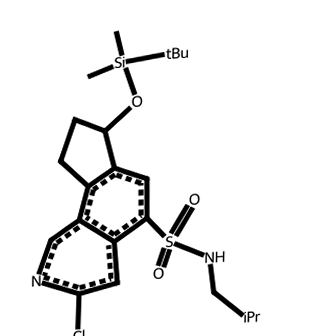 CC(C)CNS(=O)(=O)c1cc2c(c3cnc(Cl)cc13)CCC2O[Si](C)(C)C(C)(C)C